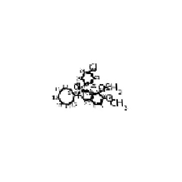 COc1ccc(CN(C2CCCCCCC2)S(=O)(=O)c2ccc(Cl)cc2)cc1OC